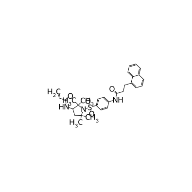 C=CC(=O)NC1CC(C)(C)N(S(=O)(=O)c2ccc(NC(=O)CCc3cccc4ccccc34)cc2)C1(C)C